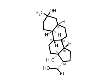 CCC(O)[C@H]1CC[C@H]2[C@@H]3CC[C@@H]4CC(O)(C(F)(F)F)CC[C@@H]4[C@H]3CC[C@]12C